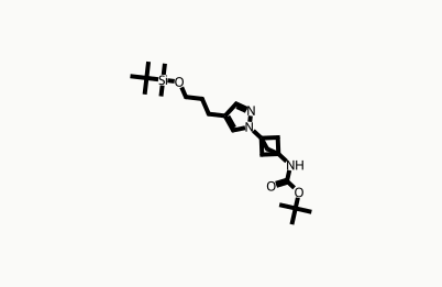 CC(C)(C)OC(=O)NC12CC(n3cc(CCCO[Si](C)(C)C(C)(C)C)cn3)(C1)C2